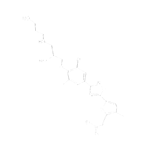 CCc1cc(-c2noc(-c3cc(C)c(CN(CC)CC)s3)n2)cc(C)c1OCC(O)CNCCCO